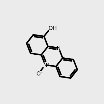 [O-][n+]1c2ccccc2nc2c(O)cccc21